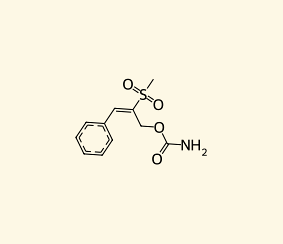 CS(=O)(=O)/C(=C/c1ccccc1)COC(N)=O